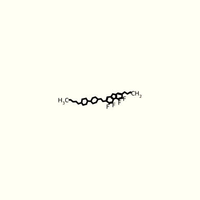 C=CCCc1cc2c(c(F)c1F)-c1c(cc(CCC3CCC(C4CCC(CCCCC)CC4)CC3)c(F)c1F)C2